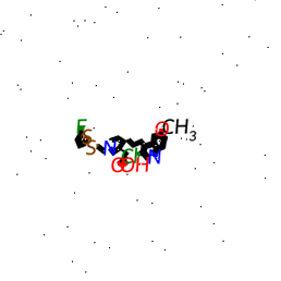 COc1ccc2ncc(Cl)c(CCC[C@@H]3CCN(CCSc4ccc(F)s4)C[C@@H]3CC(=O)O)c2c1